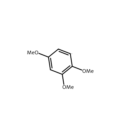 COc1c[c]c(OC)c(OC)c1